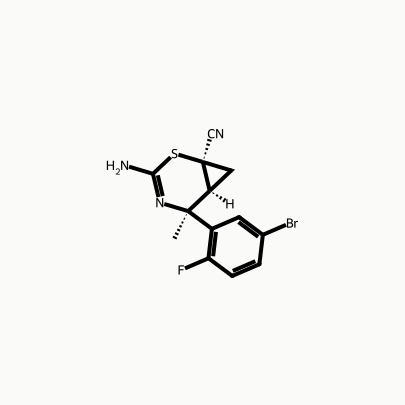 C[C@]1(c2cc(Br)ccc2F)N=C(N)S[C@@]2(C#N)C[C@H]21